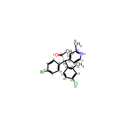 CC(=O)[C@](c1ccc(Br)cc1)(c1ccnc(C)c1)c1ccc(Cl)cc1C